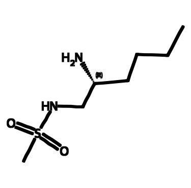 CCCC[C@@H](N)CNS(C)(=O)=O